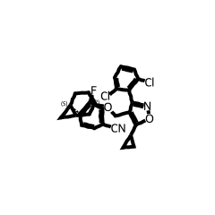 N#Cc1ccc([C@]23CC[C@@H](OCc4c(-c5c(Cl)cccc5Cl)noc4C4CC4)CC2C3)c(F)c1